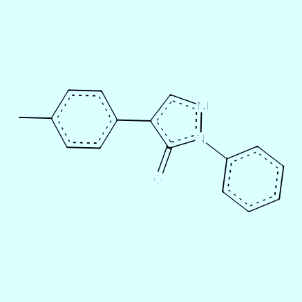 Cc1ccc(-c2c[nH]n(-c3ccccc3)c2=O)cc1